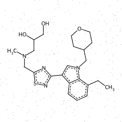 CCc1cccc2c(-c3nsc(CN(C)CC(O)CO)n3)cn(CC3CCOCC3)c12